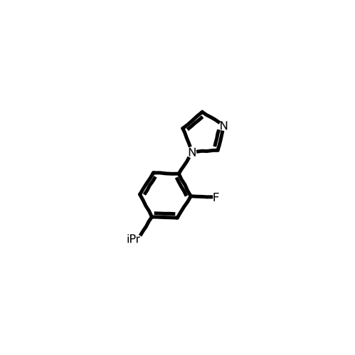 CC(C)c1ccc(-n2ccnc2)c(F)c1